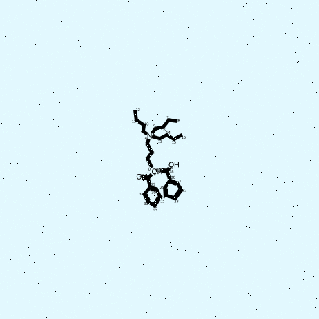 CCCC[N+](CCCC)(CCCC)CCCC.O=C(O)c1ccccc1.O=C(O)c1ccccc1